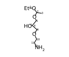 CCOC(C)OCC(O)COCCN